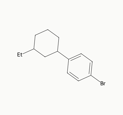 CCC1CCCC(c2ccc(Br)cc2)C1